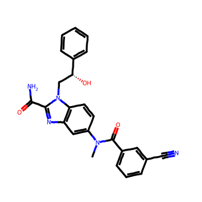 CN(C(=O)c1cccc(C#N)c1)c1ccc2c(c1)nc(C(N)=O)n2C[C@@H](O)c1ccccc1